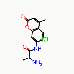 Cc1cc(=O)oc2cc(NC(=O)[C@H](C)N)ccc12.Cl